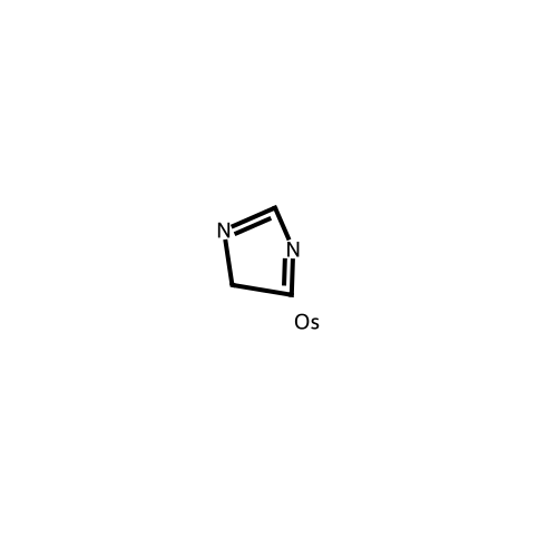 C1=NC=NC1.[Os]